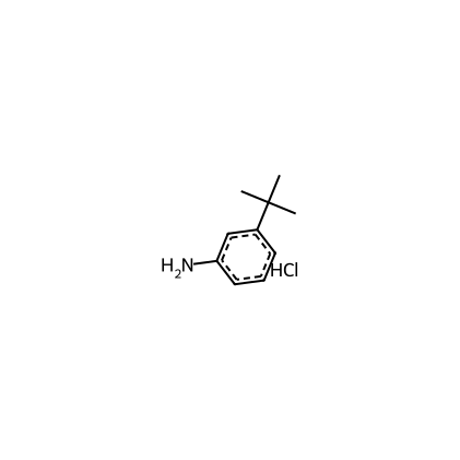 CC(C)(C)c1cccc(N)c1.Cl